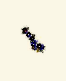 CCc1cc(Nc2ncc(Br)c(Nc3ccc4nccnc4c3P(C)(C)=S)n2)c(OC)cc1N1CCC(N2C[C@H]3CC[C@@H](C2)O3)CC1